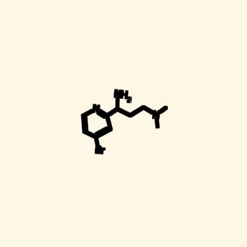 CN(C)CCC(N)c1cc(Br)ccn1